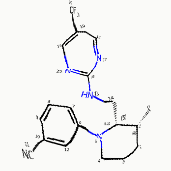 C[C@@H]1CCCN(c2cccc(C#N)c2)[C@@H]1CNc1ncc(C(F)(F)F)cn1